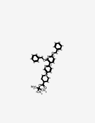 CC(C)(C)OC(=O)C1CCN(c2ccc(-c3ccc(OCc4ccccc4)nc3OCc3ccccc3)nc2)CC1